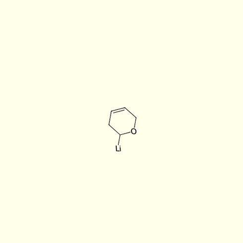 [Li][CH]1CC=CCO1